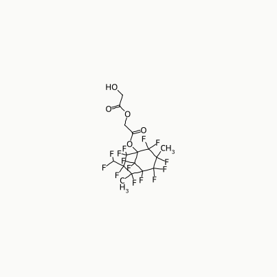 CC1(F)C(F)(F)C2(F)C(C)(F)C(F)(C(F)F)C(F)(F)C(OC(=O)COC(=O)CO)(C1(F)F)C2(F)F